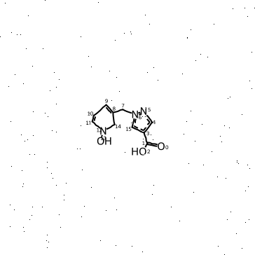 O=C(O)c1cnn(CC2=CC=CN(O)C2)c1